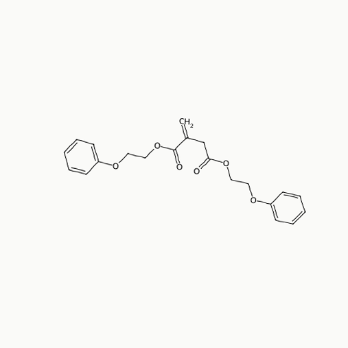 C=C(CC(=O)OCCOc1ccccc1)C(=O)OCCOc1ccccc1